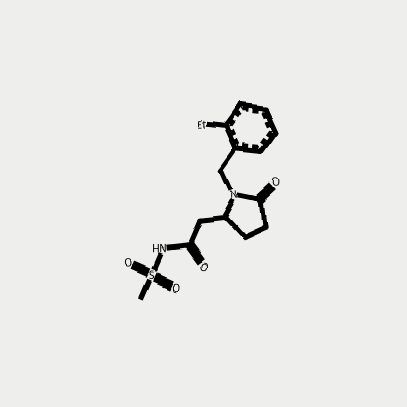 CCc1ccccc1CN1C(=O)CCC1CC(=O)NS(C)(=O)=O